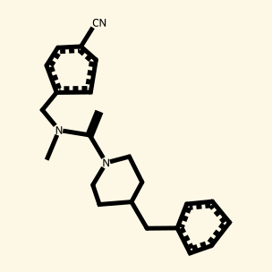 C=C(N(C)Cc1ccc(C#N)cc1)N1CCC(Cc2ccccc2)CC1